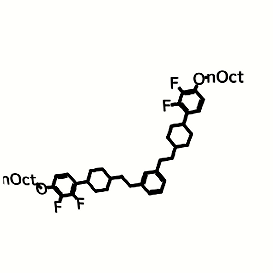 CCCCCCCCOc1ccc(C2CCC(CCc3cccc(CCC4CCC(c5ccc(OCCCCCCCC)c(F)c5F)CC4)c3)CC2)c(F)c1F